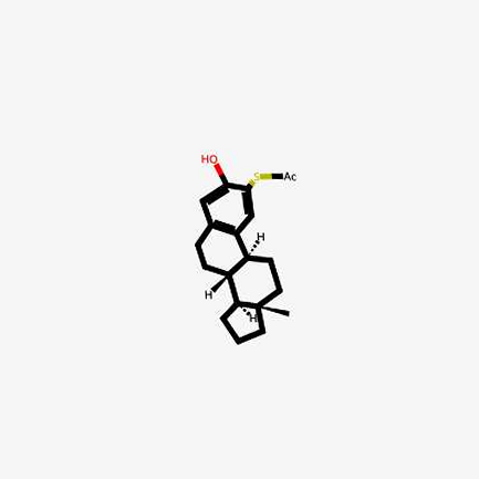 CC(=O)Sc1cc2c(cc1O)CC[C@@H]1[C@@H]2CC[C@]2(C)CCC[C@@H]12